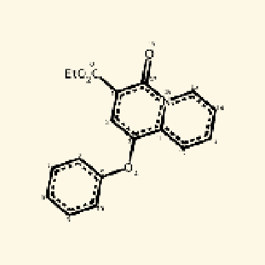 CCOC(=O)c1cc(Oc2ccccc2)c2ccccn2c1=O